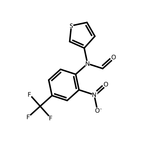 O=CN(c1ccsc1)c1ccc(C(F)(F)F)cc1[N+](=O)[O-]